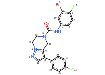 O=C(Nc1ccc(F)c(Br)c1)N1CCn2ncc(-c3ccc(F)cc3)c2C1